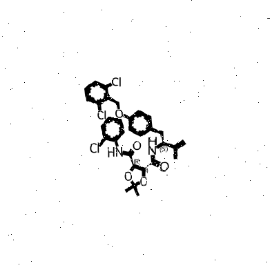 C=C(C)[C@H](Cc1ccc(OCc2c(Cl)cccc2Cl)cc1)NC(=O)[C@@H]1OC(C)(C)O[C@H]1C(=O)Nc1ccccc1Cl